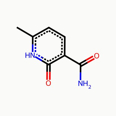 Cc1ccc(C(N)=O)c(=O)[nH]1